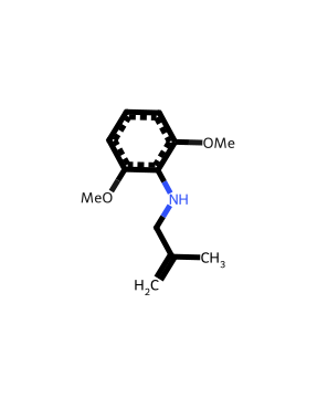 C=C(C)CNc1c(OC)cccc1OC